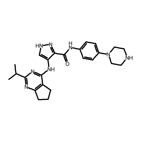 CC(C)c1nc2c(c(Nc3c[nH]nc3C(=O)Nc3ccc(N4CCNCC4)cc3)n1)CCC2